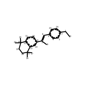 [CH2]Cc1ccc(/C=C(\C)c2ccc3c(c2)C(C)(C)CCC3(C)C)cc1